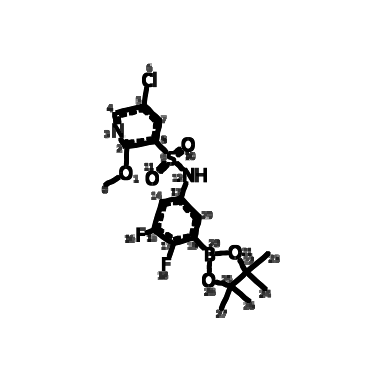 COc1ncc(Cl)cc1S(=O)(=O)Nc1cc(F)c(F)c(B2OC(C)(C)C(C)(C)O2)c1